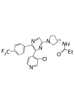 CCC(=O)N[C@H]1CCN(c2cnc(-c3ccc(C(F)(F)F)cc3)c(-c3ccncc3Cl)n2)C1